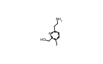 NCCc1ccc(F)c(CO)n1